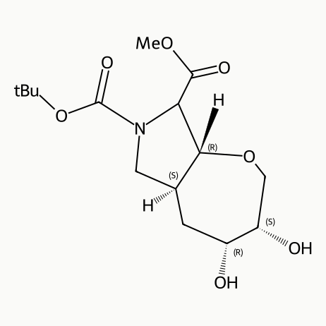 COC(=O)C1[C@@H]2OC[C@H](O)[C@H](O)C[C@H]2CN1C(=O)OC(C)(C)C